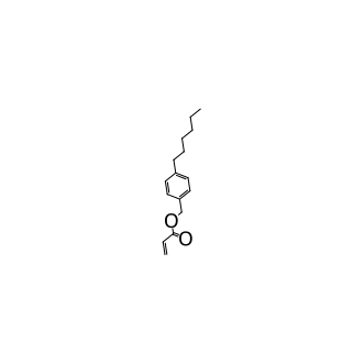 C=CC(=O)OCc1ccc(CCCCCC)cc1